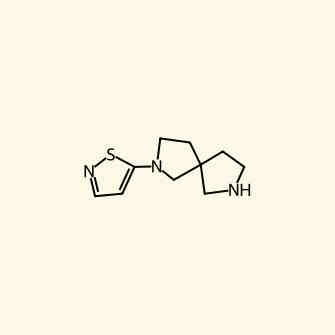 c1cc(N2CCC3(CCNC3)C2)sn1